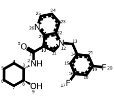 O=C(N[C@H]1CCCC[C@@H]1O)c1cn(Cc2cc(F)cc(F)c2)c2cccnc12